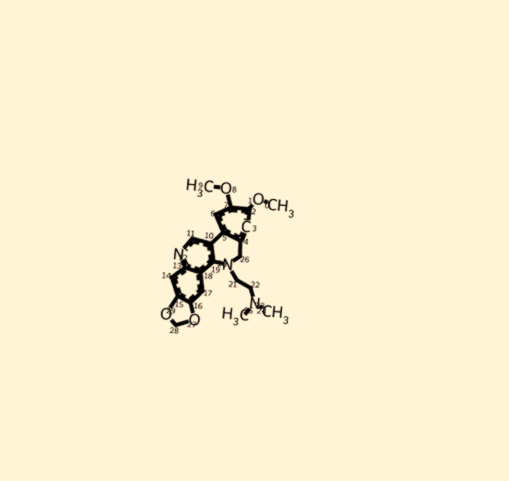 COc1cc2c(cc1OC)-c1cnc3cc4c(cc3c1N(CCN(C)C)C2)OCO4